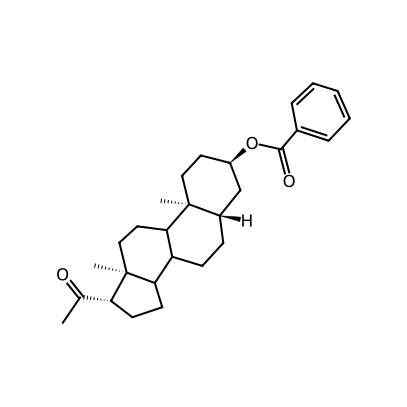 CC(=O)[C@H]1CCC2C3CC[C@H]4C[C@H](OC(=O)c5ccccc5)CC[C@]4(C)C3CC[C@@]21C